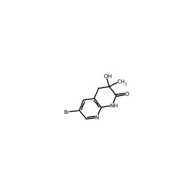 CC1(O)Cc2cc(Br)cnc2NC1=O